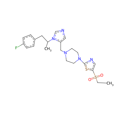 CCS(=O)(=O)c1cnc(N2CCN(Cc3cncn3C(C)Cc3ccc(F)cc3)CC2)s1